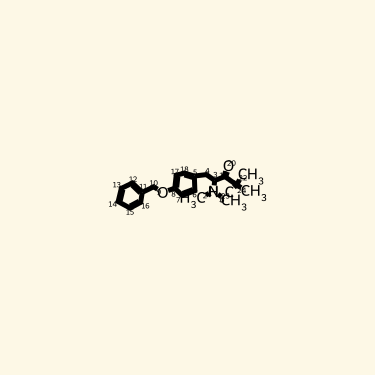 CN(C)C(Cc1ccc(OCc2ccccc2)cc1)C(=O)C(C)(C)C